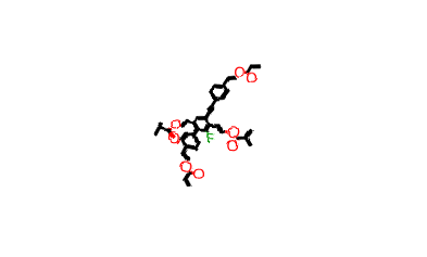 C=CC(=O)O/C=C/c1ccc(C#Cc2cc(/C=C/OC(=O)C(=C)C)c(-c3ccc(/C=C/OC(=O)C=C)cc3)c(F)c2/C=C/OC(=O)C(=C)C)cc1